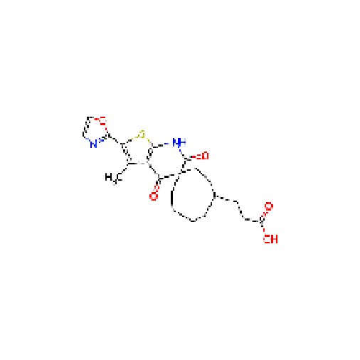 Cc1c(-c2ncco2)sc2c1C(=O)C1(CCCCC(CCC(=O)O)CC1)C(=O)N2